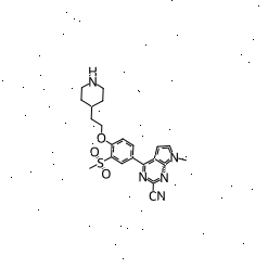 Cn1ccc2c(-c3ccc(OCCC4CCNCC4)c(S(C)(=O)=O)c3)nc(C#N)nc21